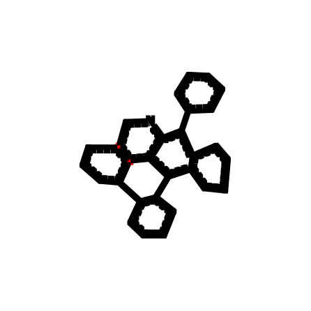 c1ccc(-c2ccccc2-c2c3ccccc3c(-c3ccccc3)c3ncccc23)cc1